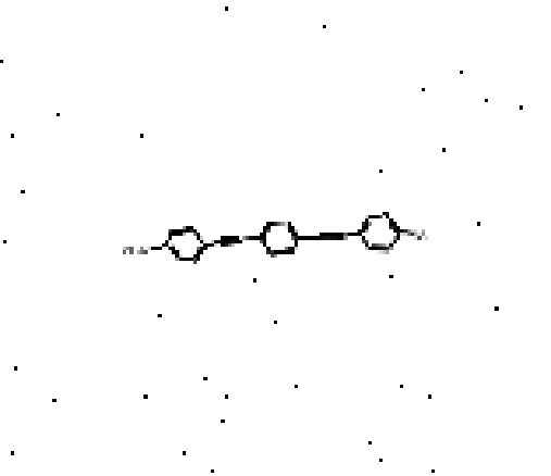 CCCCCCCCCCc1ccc(C#Cc2ccc(C#Cc3ccc(CC)cc3)cc2)cc1